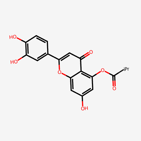 CC(C)C(=O)Oc1cc(O)cc2oc(-c3ccc(O)c(O)c3)cc(=O)c12